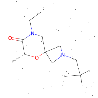 CCN1CC2(CN(CC(C)(C)C)C2)O[C@H](C)C1=O